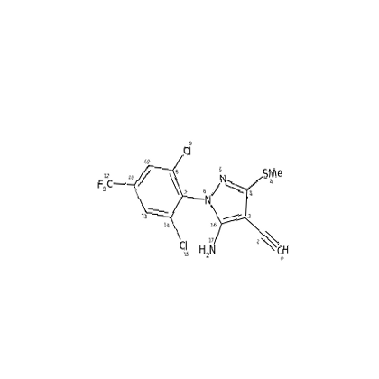 C#Cc1c(SC)nn(-c2c(Cl)cc(C(F)(F)F)cc2Cl)c1N